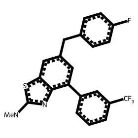 CNc1nc2c(-c3cccc(C(F)(F)F)c3)cc(Cc3ccc(F)cc3)cc2s1